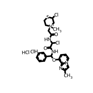 Cc1cn2cccc(OC(NC(=O)C(Cl)NC(=O)C[N+]3(C)CCSC(Cl)C3)c3ccccc3)c2n1.Cl.Cl